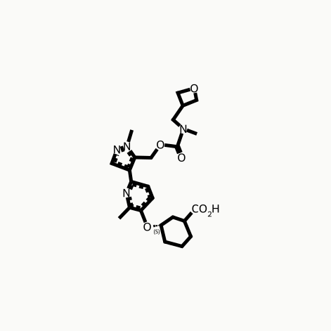 Cc1nc(-c2cnn(C)c2COC(=O)N(C)CC2COC2)ccc1O[C@H]1CCCC(C(=O)O)C1